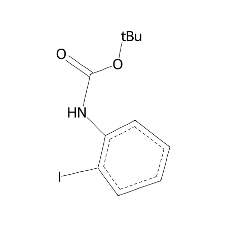 CC(C)(C)OC(=O)Nc1ccccc1I